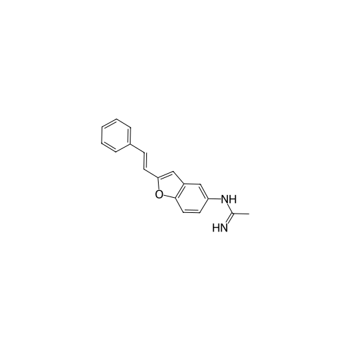 CC(=N)Nc1ccc2oc(C=Cc3ccccc3)cc2c1